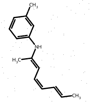 CC=C/C=C\C=C(/C)Nc1cccc(C)c1